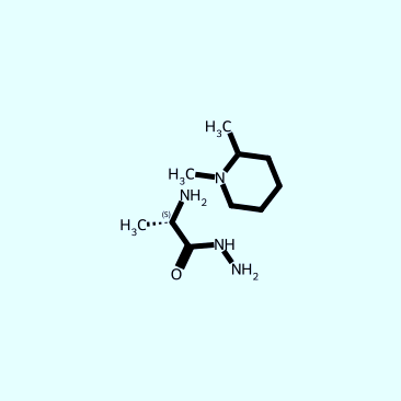 CC1CCCCN1C.C[C@H](N)C(=O)NN